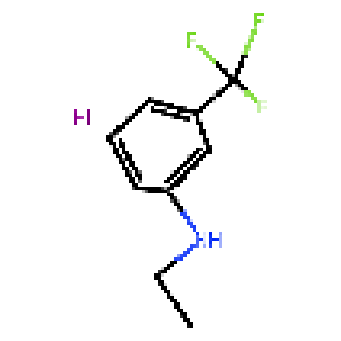 CCNc1cccc(C(F)(F)F)c1.I